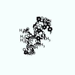 COc1ccccc1-c1nccc(COc2ccccc2C[C@@H](Oc2ncnc3sc(-c4ccc(F)cc4)c(-c4ccc(OCCN5CC[N+](C)(Cc6ccc(NC(=O)[C@H](CCCNC(N)=O)NC(=O)[C@@H](NC(=O)CCOCCN7C(=O)C=CC7=O)C(C)C)cc6CN(C)C(=O)OC[C@H](NC(=O)CS(=O)(=O)O)C(=O)O)CC5)c(Cl)c4C)c23)C(=O)O)n1